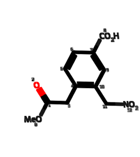 COC(=O)Cc1ccc(C(=O)O)cc1C[N+](=O)[O-]